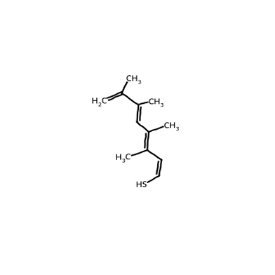 C=C(C)/C(C)=C/C(C)=C(C)/C=C\S